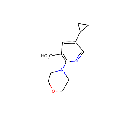 O=C(O)c1cc(C2CC2)cnc1N1CCOCC1